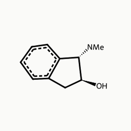 CN[C@H]1c2ccccc2C[C@@H]1O